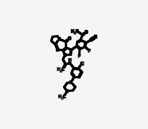 C=C(Cn1cc(-c2cc(C(N)=O)c(C#N)c(F)c2F)c2c(=O)n3c(nc21)CCC3)Nc1cc(N2CCN(C)CC2)ccc1Cl